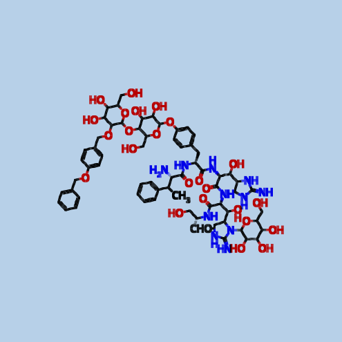 CC(c1ccccc1)[C@H](N)C(=O)N[C@@H](Cc1ccc(OC2OC(CO)C(OC3OC(CO)C(O)C(O)C3OCc3ccc(OCc4ccccc4)cc3)C(O)C2O)cc1)C(=O)N[C@H](C(=O)N[C@H](C(=O)N[C@H]([C]=O)CO)C(O)C1CNC(=N)N1C1OC(CO)C(O)C(O)C1O)C(O)C1CNC(=N)N1